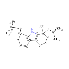 C=C(C)CC1(CC)CCCc2c1[nH]c1c2C=CCC1CC(=C)C(C)C